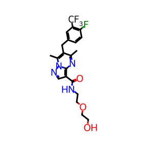 Cc1nc2c(C(=O)NCCOCCO)cnn2c(C)c1Cc1ccc(F)c(C(F)(F)F)c1